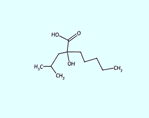 CCCCCC(O)(CC(C)C)C(=O)O